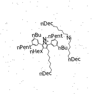 CCCCCCCCCCCCCCCCCC1=C(c2cc(CCCC)cc(CCCCC)c2)[N+](=[N-])C(c2cc(CCCC)cc(CCCCC)c2)=C1CCCCCC.CCCCCCCCCCCCCCC[CH2][Ni][CH2]CCCCCCCCCCCCCCC